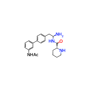 CC(=O)Nc1cccc(-c2ccc(C[C@@H](N)NC(=O)[C@@H]3CCCCN3)cc2)c1